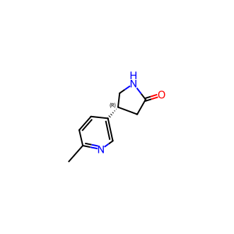 Cc1ccc([C@@H]2CNC(=O)C2)cn1